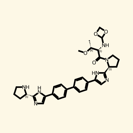 CO[C@H](C)[C@H](NC1OCO1)C(=O)N1CCC[C@H]1c1ncc(-c2ccc(-c3ccc(-c4cnc([C@@H]5CCCN5)[nH]4)cc3)cc2)[nH]1